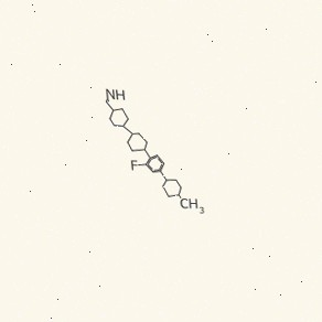 CC1CCC(c2ccc(C3CCC(C4CCC(C=N)CC4)CC3)c(F)c2)CC1